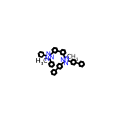 CN1C(c2ccc(-c3ccccc3)cc2)=NC(c2ccc(-c3ccccc3)cc2)=NC1c1cccc(-c2cccc(C3=NC(C4C=CC=CC4)N(C)C(c4ccccc4)=N3)c2)c1